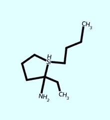 CCCC[SiH]1CCCC1(N)CC